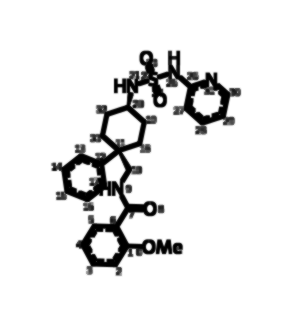 COc1ccccc1C(=O)NC[C@]1(c2ccccc2)CC[C@H](NS(=O)(=O)Nc2ccccn2)CC1